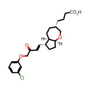 O=C(O)CCC[C@H]1CC[C@H]2[C@H](CC[C@@H]2/C=C/C(=O)COc2cccc(Cl)c2)OC1